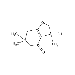 CC1(C)CC(=O)C2=C(C1)OCC2(C)C